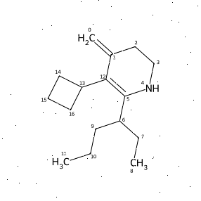 C=C1CCNC(C(CC)CCC)=C1C1CCC1